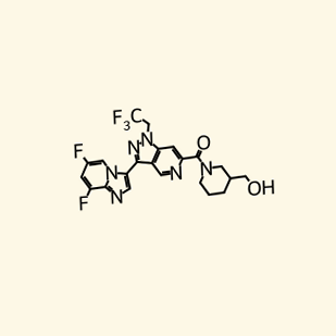 O=C(c1cc2c(cn1)c(-c1cnc3c(F)cc(F)cn13)nn2CC(F)(F)F)N1CCCC(CO)C1